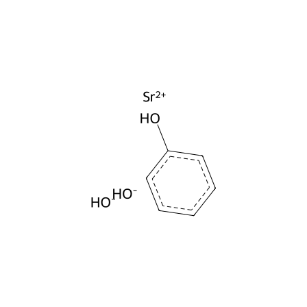 Oc1ccccc1.[OH-].[OH-].[Sr+2]